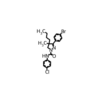 CCCCC1(C)CN(C(=O)Nc2ccc(Cl)cc2)N=C1c1ccc(Br)cc1